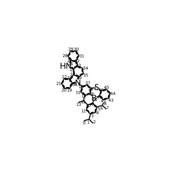 CC(C)c1cc(C(C)C)c2c(c1)C(C)c1cc(-n3c4ccccc4c4c5[nH]c6ccccc6c5ccc43)cc3c1B2c1ccccc1S3